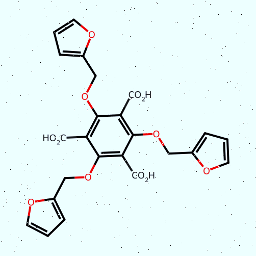 O=C(O)c1c(OCc2ccco2)c(C(=O)O)c(OCc2ccco2)c(C(=O)O)c1OCc1ccco1